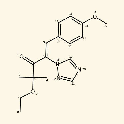 CCOC(C)(C)C(=O)/C(=C/c1ccc(OC)cc1)n1cncn1